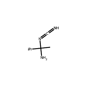 CC(C)C(C)(N)N=C=N